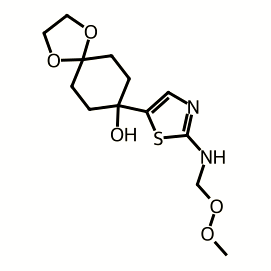 COOCNc1ncc(C2(O)CCC3(CC2)OCCO3)s1